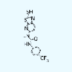 CN(C(=O)Nc1ccc(C(F)(F)F)cc1)c1ccc2nc(S)sc2n1